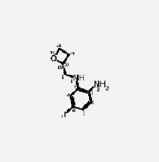 Nc1ccc(I)cc1NC[C@@H]1CCO1